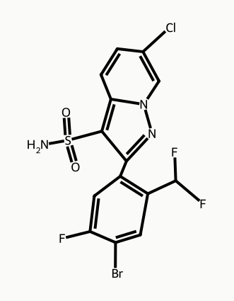 NS(=O)(=O)c1c(-c2cc(F)c(Br)cc2C(F)F)nn2cc(Cl)ccc12